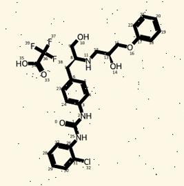 O=C(Nc1ccc(C[C@@H](CO)NC[C@H](O)COc2ccccc2)cc1)Nc1ccccc1Cl.O=C(O)C(F)(F)F